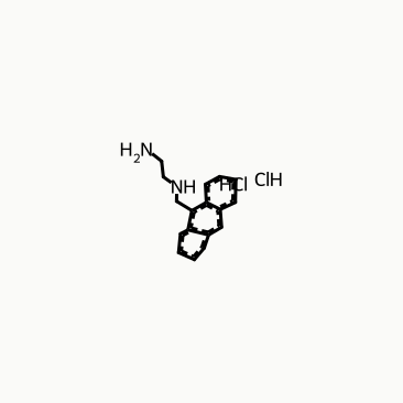 Cl.Cl.NCCNCc1c2ccccc2cc2ccccc12